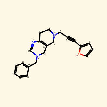 C(#Cc1ccco1)CN1CCC2=C(CN(Cc3ccccc3)C=N2)C1